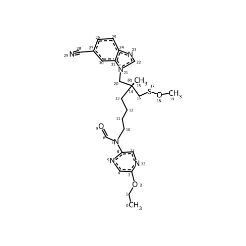 CCOc1cnc(N(C=O)CCCC[C@@](C)(CSOC)Cn2cnc3ccc(C#N)cc32)cn1